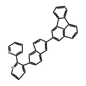 c1ccc(-c2ncccc2-c2ccc3cc(-c4cc5c6c(cccc6c4)-c4ccccc4-5)ccc3c2)nc1